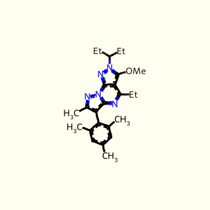 CCc1nc2c(-c3c(C)cc(C)cc3C)c(C)nn2c2nn(C(CC)CC)c(OC)c12